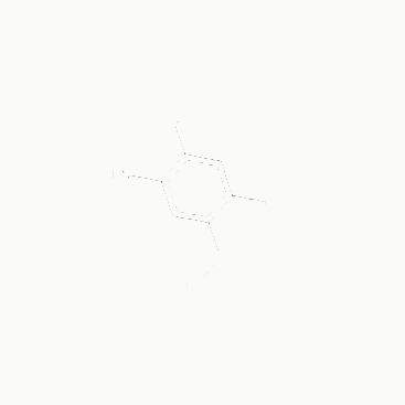 CCOc1cc(N)c(Br)cc1C(=O)O